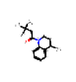 CC1CCN(C(=O)CC(C)(C)C)c2ccccc21